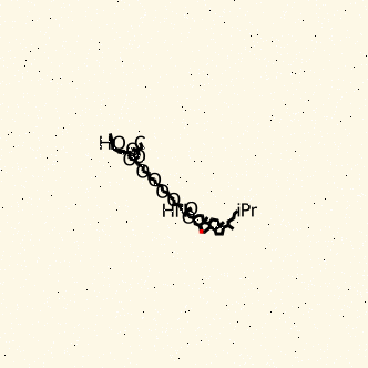 CC#CCC#CCOC(CCOCCOCCOCCOCCNC(=O)OC1CCC2(C)C(=CCC3C2CCC2(C)C(C(C)CCCC(C)C)CCC32)C1)OC(=O)CC(=O)O